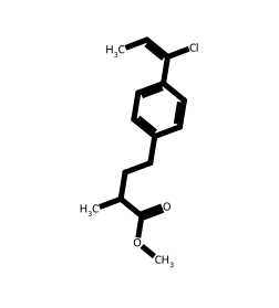 C/C=C(/Cl)c1ccc(CCC(C)C(=O)OC)cc1